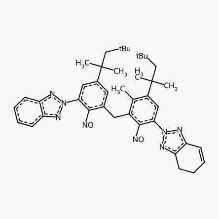 Cc1c(C(C)(C)CC(C)(C)C)cc(-n2nc3c(n2)CCC=C3)c(N=O)c1Cc1cc(C(C)(C)CC(C)(C)C)cc(-n2nc3ccccc3n2)c1N=O